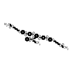 C=CC(=O)OCCCCCCOc1ccc(OC(=O)[C@H]2CC[C@H](C(=O)Oc3ccc(OC(=O)[C@H]4CC[C@H](C(=O)Oc5ccc(OCCCCCCOC(=O)C=C)cc5)CC4)c(/C=N/N(CCCC(F)(F)F)c4nc5ccccc5s4)c3)CC2)cc1